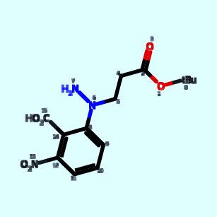 CC(C)(C)OC(=O)CCN(N)c1cccc([N+](=O)[O-])c1C(=O)O